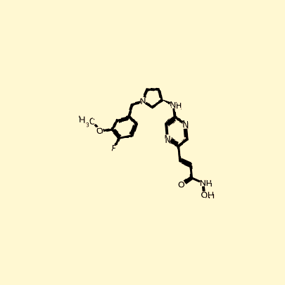 COc1cc(CN2CC[C@@H](Nc3cnc(/C=C/C(=O)NO)cn3)C2)ccc1F